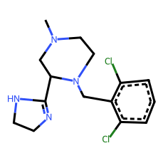 CN1CCN(Cc2c(Cl)cccc2Cl)C(C2=NCCN2)C1